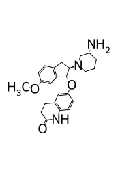 COc1ccc2c(c1)[C@@H](Oc1ccc3c(c1)CCC(=O)N3)[C@H](N1CCC[C@@H](N)C1)C2